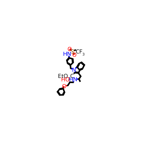 CCOC(=O)c1c(CC(C)NC[C@H](O)COc2ccccc2)c2ccccc2n1Cc1ccc(NS(=O)(=O)CC(F)(F)F)cc1